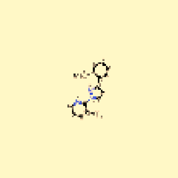 COc1ccccc1-c1ccn(-c2ncccc2C(F)(F)F)n1